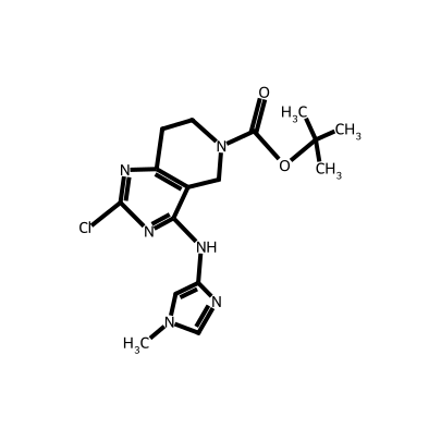 Cn1cnc(Nc2nc(Cl)nc3c2CN(C(=O)OC(C)(C)C)CC3)c1